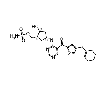 NS(=O)(=O)OC[C@H]1C[C@@H](Nc2ncncc2C(=O)c2cc(CC3=CCCCC3)cs2)C[C@@H]1O